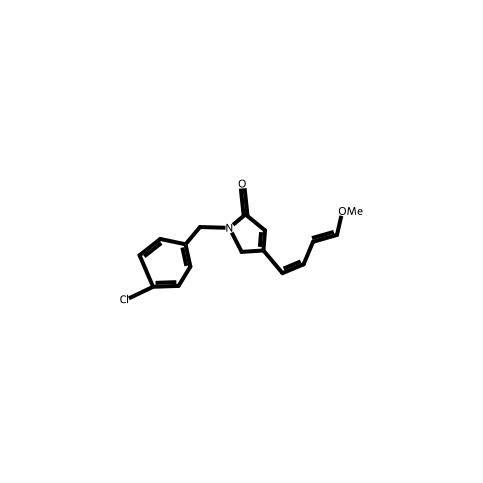 CO/C=C/C=C\C1=CC(=O)N(Cc2ccc(Cl)cc2)C1